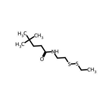 CCSSCCNC(=O)CCC(C)(C)C